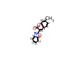 Cc1ccc2cc(-c3nc4ccccc4o3)c(=O)oc2c1